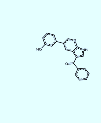 O=C(c1ccccc1)c1c[nH]c2ncc(-c3cccc(O)c3)cc12